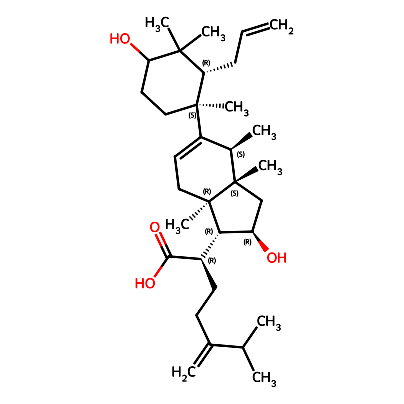 C=CC[C@H]1C(C)(C)C(O)CC[C@]1(C)C1=CC[C@]2(C)[C@@H]([C@@H](CCC(=C)C(C)C)C(=O)O)[C@H](O)C[C@@]2(C)[C@@H]1C